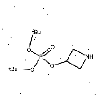 CC(C)(C)OP(=O)(OC1CNC1)OC(C)(C)C